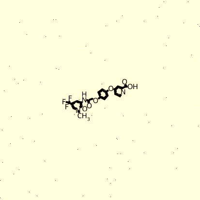 Cn1cc(C(F)(F)F)cc(NC(=O)COc2ccc(Oc3ccnc(C(=O)O)c3)cc2)c1=O